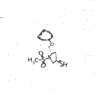 CS(=O)(=O)N1C[C@H](S)C[C@H]1COc1ccccc1